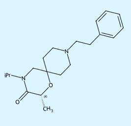 CC(C)N1CC2(CCN(CCc3ccccc3)CC2)O[C@H](C)C1=O